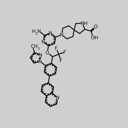 Cc1ccn(-c2cc(-c3ccc4cccnc4c3)ccc2C(Oc2cc(N3CCC4(CC3)CNC(C(=O)O)C4)nc(N)n2)C(F)(F)F)n1